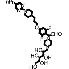 CCCc1cnc(N2CCC(CCCOc3cc(F)c(C(C=O)N4CCN(C[C@H](O)[C@@H](O)[C@H](O)[C@H](O)CO)CC4)c(F)c3)CC2)nc1